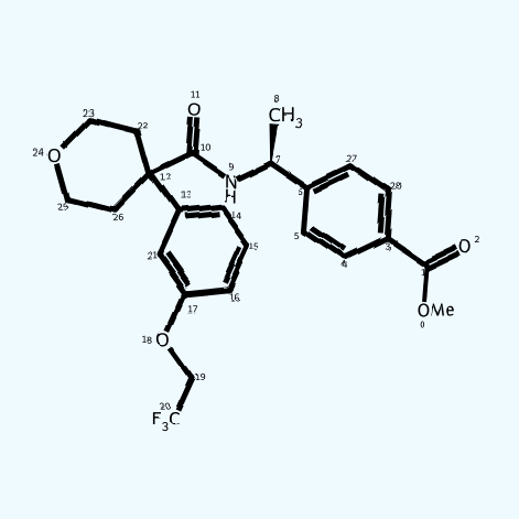 COC(=O)c1ccc([C@H](C)NC(=O)C2(c3cccc(OCC(F)(F)F)c3)CCOCC2)cc1